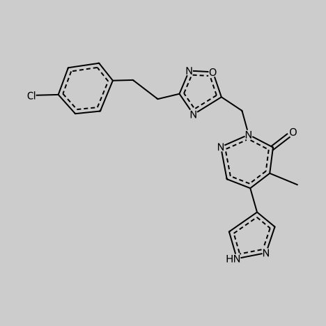 Cc1c(-c2cn[nH]c2)cnn(Cc2nc(CCc3ccc(Cl)cc3)no2)c1=O